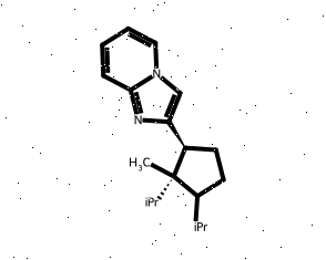 CC(C)C1CC[C@H](c2cn3ccccc3n2)[C@@]1(C)C(C)C